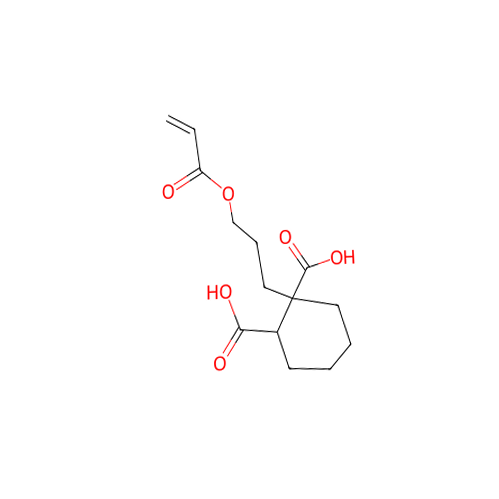 C=CC(=O)OCCCC1(C(=O)O)CCCCC1C(=O)O